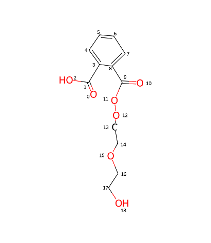 O=C(O)c1ccccc1C(=O)OOCCOCCO